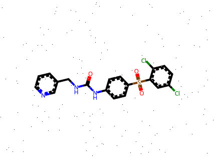 O=C(NCc1cccnc1)Nc1ccc(S(=O)(=O)c2cc(Cl)ccc2Cl)cc1